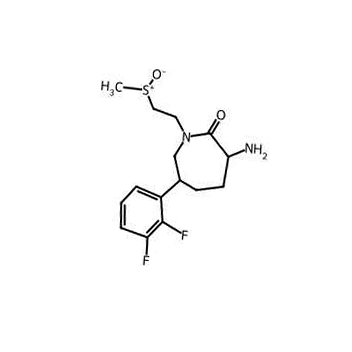 C[S+]([O-])CCN1CC(c2cccc(F)c2F)CCC(N)C1=O